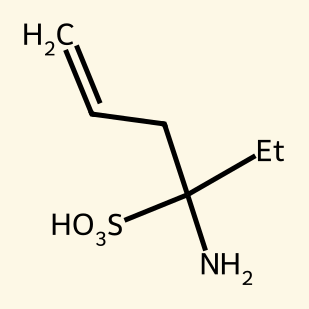 C=CCC(N)(CC)S(=O)(=O)O